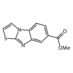 COC(=O)c1ccc2c(c1)nc1sccn12